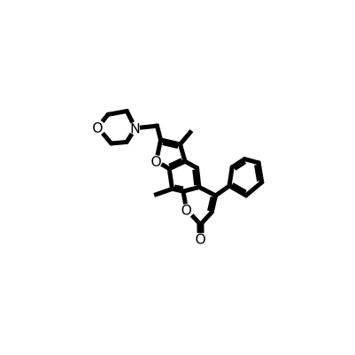 Cc1c(CN2CCOCC2)oc2c(C)c3oc(=O)cc(-c4ccccc4)c3cc12